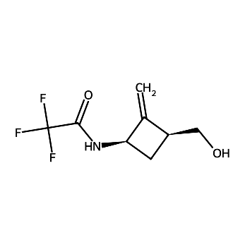 C=C1[C@@H](CO)C[C@H]1NC(=O)C(F)(F)F